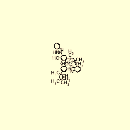 CC(C)(C)CC(C)(C)c1cc(Cc2cc(C(C)(C)CC(C)(C)C)cc(-n3nc4ccccc4n3)c2O)c(O)c(N2N=C3C=CC=CC3N2)c1